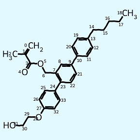 C=C(C)C(=O)OCc1cc(-c2ccc(CCCCC)cc2)ccc1-c1ccc(OCCO)cc1